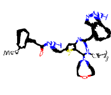 COc1c#ccc(CC(=O)NCc2cc3c(s2)C(N2CCOCC2)N(C)C(c2cccc4[nH]ncc24)=N3)c1